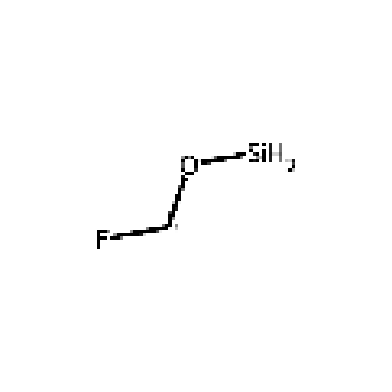 F[C]O[SiH3]